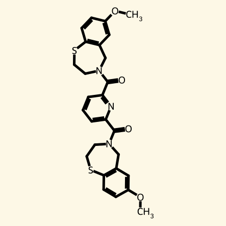 COc1ccc2c(c1)CN(C(=O)c1cccc(C(=O)N3CCSc4ccc(OC)cc4C3)n1)CCS2